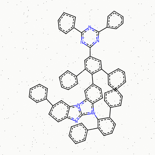 c1ccc(-c2ccc3nc4n(-c5c(-c6ccccc6)cccc5-c5ccccc5)c5ccc(-c6c(-c7ccccc7)cc(-c7nc(-c8ccccc8)nc(-c8ccccc8)n7)cc6-c6ccccc6)cc5n4c3c2)cc1